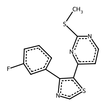 CSc1nccc(-c2scnc2-c2cccc(F)c2)n1